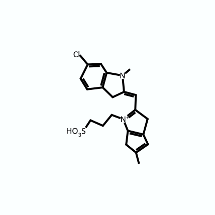 CC1=CC2=C(C1)[N+](CCCS(=O)(=O)O)=C(C=C1Cc3ccc(Cl)cc3N1C)C2